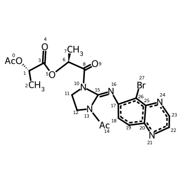 CC(=O)O[C@@H](C)C(=O)O[C@@H](C)C(=O)N1CCN(C(C)=O)/C1=N\c1ccc2nccnc2c1Br